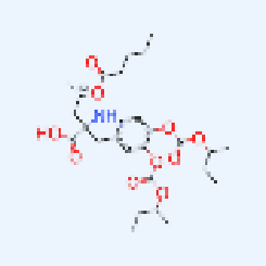 CCCCC(=O)O[C@@H](C)CC(N)(Cc1ccc(OC(=O)OC(C)CC)c(OC(=O)OC(C)CC)c1)C(=O)O